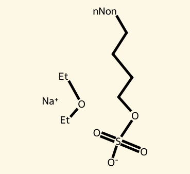 CCCCCCCCCCCCCOS(=O)(=O)[O-].CCOCC.[Na+]